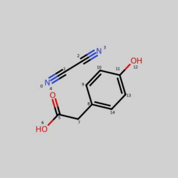 N#CC#N.O=C(O)Cc1ccc(O)cc1